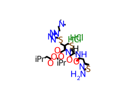 CC(C)CC(=O)OC(OC(=O)C1=C(CSc2nnnn2CCN(C)C)CS[C@@H]2[C@H](NC(=O)Cc3csc(N)n3)C(=O)N12)C(C)C.Cl.Cl